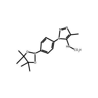 Cc1nnn(-c2ccc(B3OC(C)(C)C(C)(C)O3)cc2)c1NC(=O)O